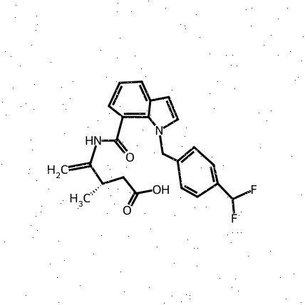 C=C(NC(=O)c1cccc2ccn(Cc3ccc(C(F)F)cc3)c12)[C@@H](C)CC(=O)O